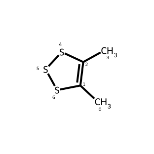 CC1=C(C)SSS1